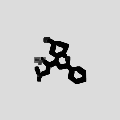 CN(C)CC(N)=C1C=C(c2ccccc2)Oc2ccc(Cl)cc21